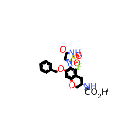 O=C(O)N[C@@H]1COc2cc(OCc3ccccc3)c(N3CC(=O)NS3(=O)=O)c(F)c2C1